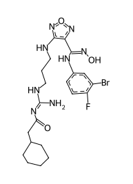 N/C(=N\C(=O)CC1CCCCC1)NCCCNc1nonc1/C(=N/O)Nc1ccc(F)c(Br)c1